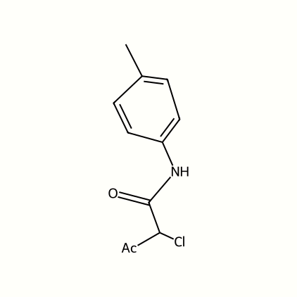 CC(=O)C(Cl)C(=O)Nc1ccc(C)cc1